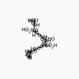 CCC(CC(=O)NCCCCC(NC(=O)COCCOCCNC(=O)CCC(C=O)NC(=O)CCC(NC(=O)COCCOCCNC(=O)CCC[S+]([O-])NC(=O)CC(C)(C)CC(C)(C)Cc1nnn[nH]1)C(=O)O)C(=O)O)NO